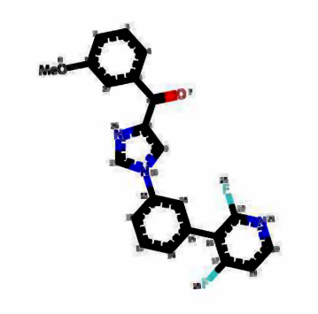 COc1cccc(C(=O)c2cn(-c3cccc(-c4c(F)ccnc4F)c3)cn2)c1